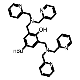 CCCCc1cc(CN(Cc2ccccn2)Cc2ccccn2)c(O)c(CN(Cc2ccccn2)Cc2ccccn2)c1